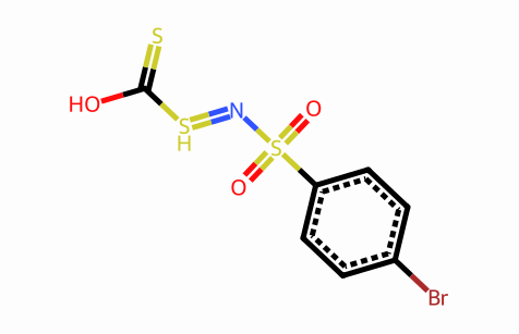 O=S(=O)(N=[SH]C(O)=S)c1ccc(Br)cc1